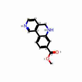 COC(=O)c1ccc2c(c1)NCc1ccncc1-2